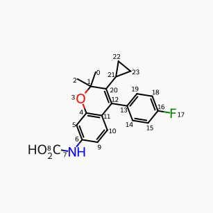 CC1(C)Oc2cc(NC(=O)O)ccc2C(c2ccc(F)cc2)=C1C1CC1